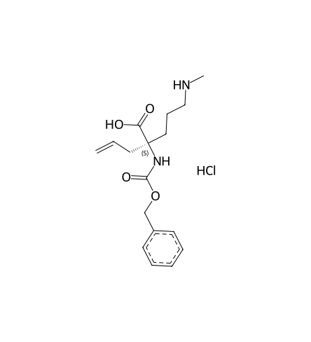 C=CC[C@](CCCNC)(NC(=O)OCc1ccccc1)C(=O)O.Cl